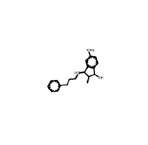 COc1ccc2c(c1)C(NCCCc1ccccc1)C(C)C2O